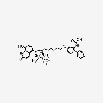 CC(C)(C)[Si](C)(C)OC(CNCCCCCCOc1ccc(-c2ccccc2)c(NC(=O)O)c1)c1ccc(O)c2[nH]c(=O)ccc12